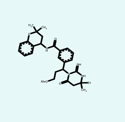 CCC1(C)CC(=O)N(C(CCOC)c2cccc(C(=O)NC3CC(C)(C)Oc4ccccc43)c2)C(=N)N1